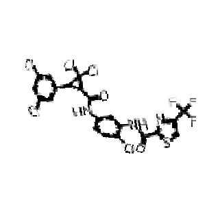 O=C(Nc1cc(NC(=O)C2C(c3cc(Cl)cc(Cl)c3)C2(Cl)Cl)ccc1Cl)c1nc(C(F)(F)F)cs1